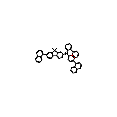 CC1(C)c2cc(-c3cccc4ccccc34)ccc2-c2ccc(N(c3ccc(-c4cccc5ccccc45)cc3)c3ccccc3-c3ccccc3)cc21